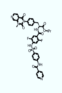 CC(C)OC(=O)[C@H](Cc1ccc(-n2c(=O)c3ccncc3n(C)c2=O)cc1)NC(=O)c1cc(F)c(NS(=O)(=O)c2ccc(NC(=O)c3ccncc3)cc2)cc1F